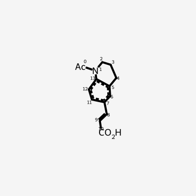 CC(=O)N1CCCc2cc(/C=C/C(=O)O)ccc21